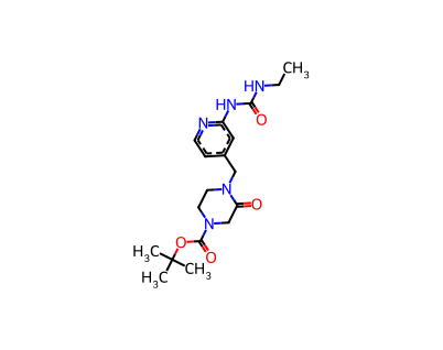 CCNC(=O)Nc1cc(CN2CCN(C(=O)OC(C)(C)C)CC2=O)ccn1